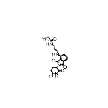 O=C(O)NCCCNc1cccc2c1C(=O)N(C1CCC(=O)NC1=O)C2=O